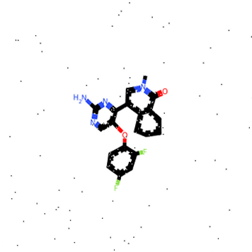 Cn1cc(-c2nc(N)ncc2Oc2ccc(F)cc2F)c2ccccc2c1=O